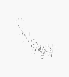 COCCOCCOCCC(=O)NCCCCC(NC(=O)CN(C)CC(=O)O[C@@H](C(=O)O[C@H]1C[C@@]2(O)[C@@H](OC(=O)c3ccccc3)[C@@H]3[C@]4(OC(C)=O)CO[C@@H]4C[C@H](O)[C@@]3(C)[C@H](O)[C@H](O)[C@H](C1C)C2(C)C)[C@@H](NC(=O)OC(C)(C)C)c1ccccc1)C(C)=O